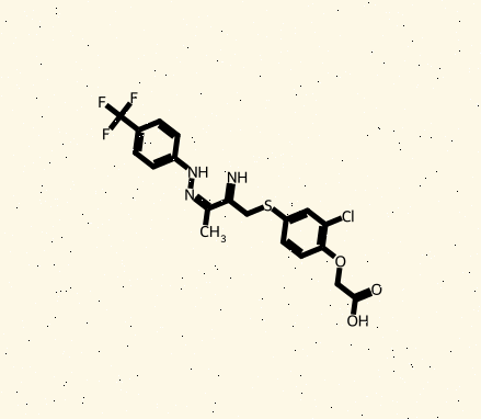 C/C(=N/Nc1ccc(C(F)(F)F)cc1)C(=N)CSc1ccc(OCC(=O)O)c(Cl)c1